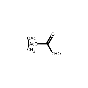 CC(=O)OC(=O)C=O.COC(C)=O